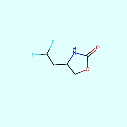 O=C1NC(CC(F)F)CO1